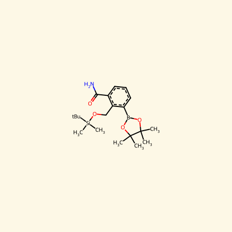 CC1(C)OB(c2cccc(C(N)=O)c2CO[Si](C)(C)C(C)(C)C)OC1(C)C